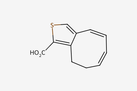 O=C(O)c1scc2c1CC/C=C\C=C/2